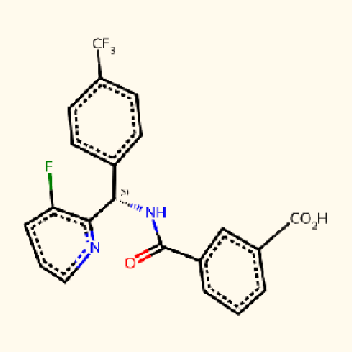 O=C(O)c1cccc(C(=O)N[C@@H](c2ccc(C(F)(F)F)cc2)c2ncccc2F)c1